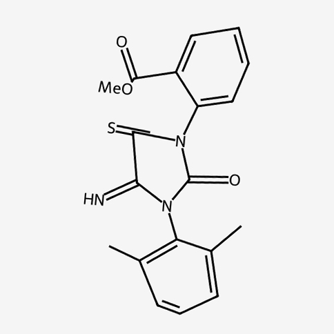 COC(=O)c1ccccc1N1C(=O)N(c2c(C)cccc2C)C(=N)C1=S